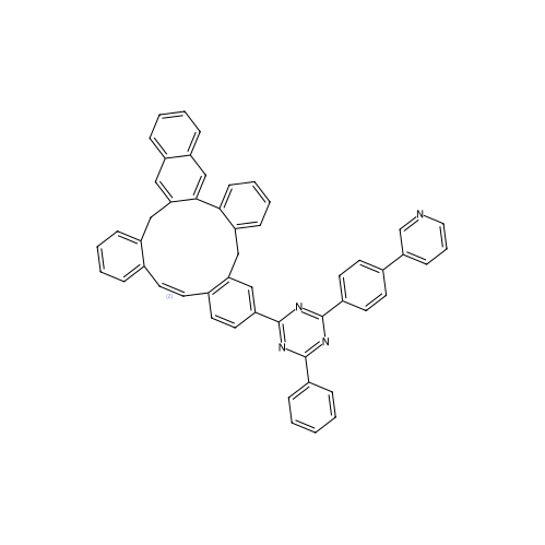 C1=C\c2ccc(-c3nc(-c4ccccc4)nc(-c4ccc(-c5cccnc5)cc4)n3)cc2Cc2ccccc2-c2cc3ccccc3cc2Cc2ccccc2/1